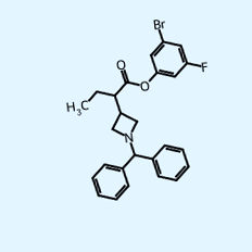 CCC(C(=O)Oc1cc(F)cc(Br)c1)C1CN(C(c2ccccc2)c2ccccc2)C1